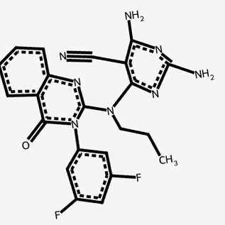 CCCN(c1nc(N)nc(N)c1C#N)c1nc2ccccc2c(=O)n1-c1cc(F)cc(F)c1